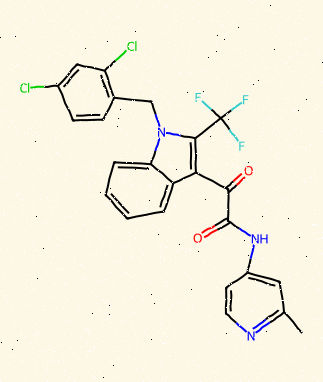 Cc1cc(NC(=O)C(=O)c2c(C(F)(F)F)n(Cc3ccc(Cl)cc3Cl)c3ccccc23)ccn1